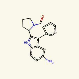 Nc1ccc2[nH]c(C3CCCN3C=O)c(-c3ccccc3)c2c1